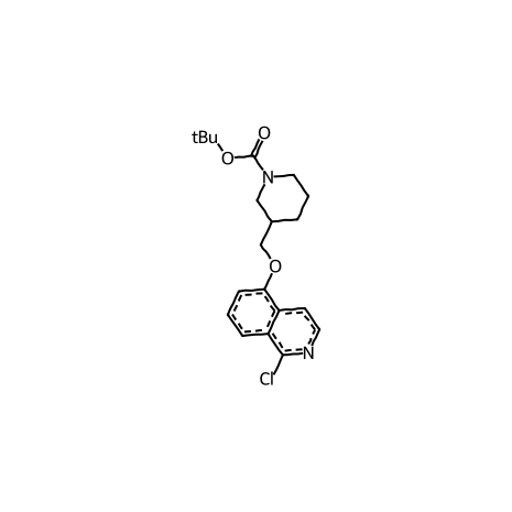 CC(C)(C)OC(=O)N1CCCC(COc2cccc3c(Cl)nccc23)C1